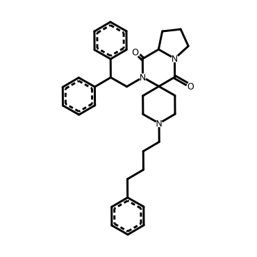 O=C1C2CCCN2C(=O)C2(CCN(CCCCc3ccccc3)CC2)N1CC(c1ccccc1)c1ccccc1